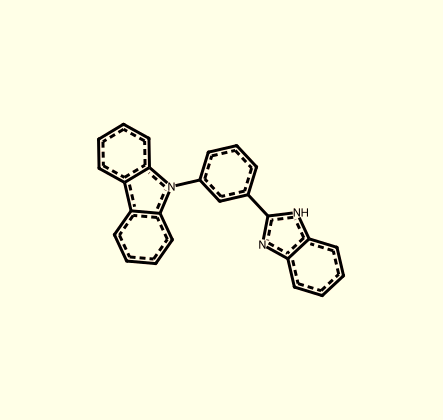 c1cc(-c2nc3ccccc3[nH]2)cc(-n2c3ccccc3c3ccccc32)c1